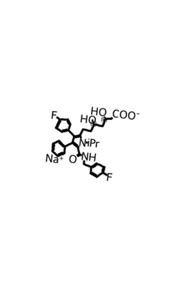 CC(C)n1c(CC[C@@H](O)C[C@@H](O)CC(=O)[O-])c(-c2ccc(F)cc2)c(-c2ccccc2)c1C(=O)NCc1ccc(F)cc1.[Na+]